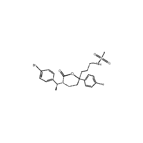 C[C@@H](c1ccc(Br)cc1)N1CCC(CCCNS(C)(=O)=O)(c2ccc(F)cc2)OC1=O